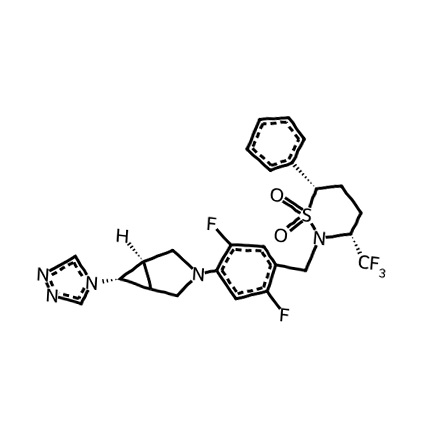 O=S1(=O)[C@H](c2ccccc2)CC[C@H](C(F)(F)F)N1Cc1cc(F)c(N2CC3[C@H](C2)[C@H]3n2cnnc2)cc1F